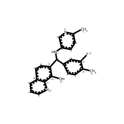 Cc1ccc(NC(c2ccc(C)c(F)c2)c2ccc3cccnc3c2O)cn1